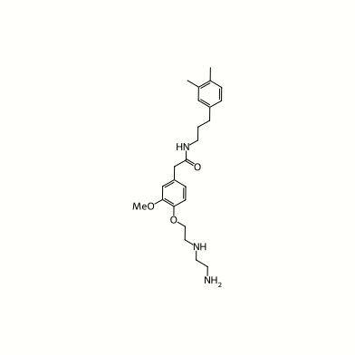 COc1cc(CC(=O)NCCCc2ccc(C)c(C)c2)ccc1OCCNCCN